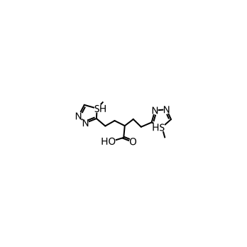 C[SH]1C=NN=C1CCC(CCC1=NN=C[SH]1C)C(=O)O